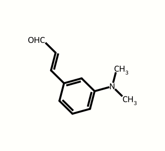 CN(C)c1cccc(C=CC=O)c1